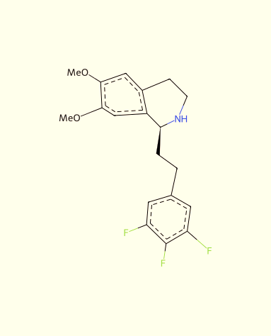 COc1cc2c(cc1OC)[C@H](CCc1cc(F)c(F)c(F)c1)NCC2